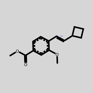 COC(=O)c1ccc(/C=C/C2CCC2)c(OC)c1